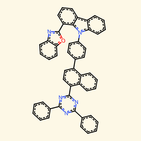 c1ccc(-c2nc(-c3ccccc3)nc(-c3ccc(-c4ccc(-n5c6ccccc6c6cccc(-c7nc8ccccc8o7)c65)cc4)c4ccccc34)n2)cc1